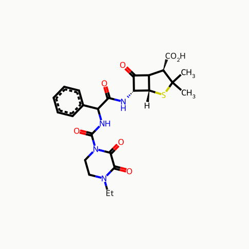 CCN1CCN(C(=O)NC(C(=O)N[C@@H]2C(=O)C3[C@@H](C(=O)O)C(C)(C)S[C@@H]32)c2ccccc2)C(=O)C1=O